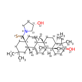 CC1(C)CC[C@]2(C(=S)N3CC[C@H](O)C3)CC[C@]3(C)C(=CC[C@@H]4[C@@]5(C)CC[C@H](O)C(C)(C)[C@@H]5CC[C@]43C)[C@@H]2C1